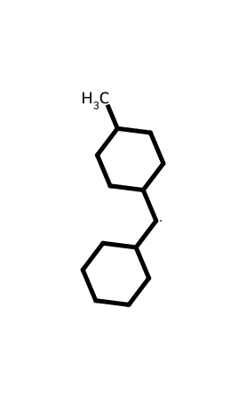 CC1CCC([CH]C2CCCCC2)CC1